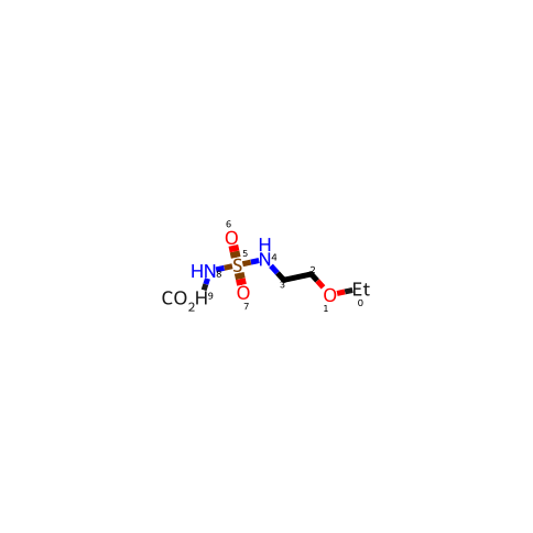 CCOCCNS(=O)(=O)NC(=O)O